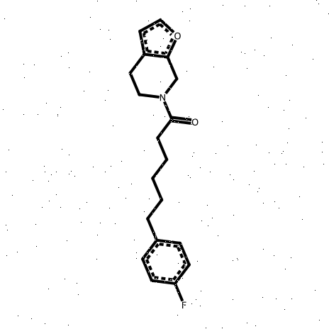 O=C(CCCCCc1ccc(F)cc1)N1CCc2ccoc2C1